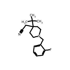 CC(C)(C)C1(CC#N)CCN(Cc2ccccc2F)CC1